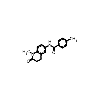 Cc1ccc(C(=O)Nc2ccc3c(c2)CCC(=O)N3C)cc1